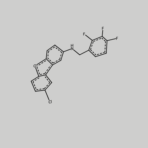 Fc1ccc(CNc2ccc3oc4ccc(Cl)cc4c3c2)c(F)c1F